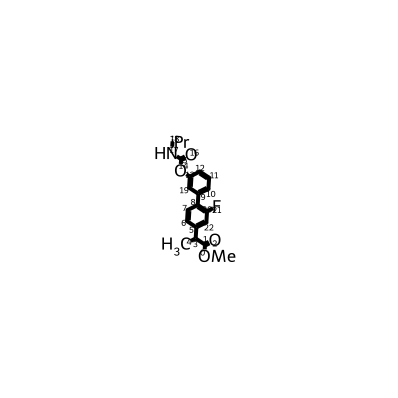 COC(=O)C(C)c1ccc(-c2cccc(OC(=O)NC(C)C)c2)c(F)c1